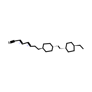 CC[C@H]1CC[C@H](CC[C@H]2CC[C@H](CC/C=C/C=C/C#N)CC2)CC1